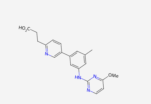 COc1ccnc(Nc2cc(C)cc(-c3ccc(CCC(=O)O)nc3)c2)n1